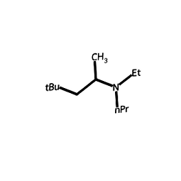 CCCN(CC)C(C)CC(C)(C)C